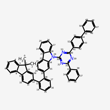 CC1(C)c2ccccc2-c2ccc(-c3ccccc3-c3ccc4c5ccccc5n(-c5nc(-c6ccccc6)nc(-c6ccc(-c7ccccc7)cc6)n5)c4c3)cc21